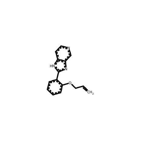 C=CCOc1ccccc1-c1nc2cnccc2[nH]1